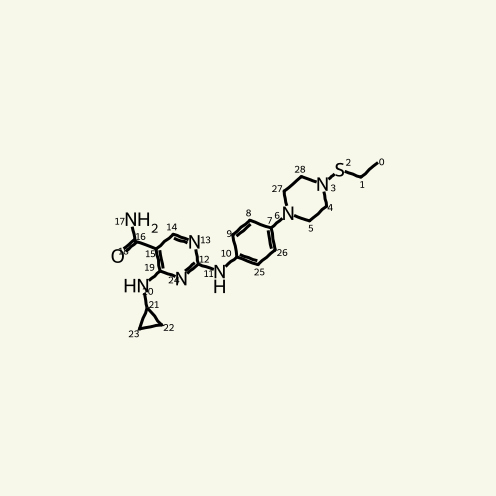 CCSN1CCN(c2ccc(Nc3ncc(C(N)=O)c(NC4CC4)n3)cc2)CC1